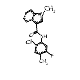 Cc1cc(Cl)c(NC(=O)c2cn(C)c3ccccc23)cc1F